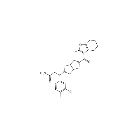 Cc1ccc(C(CC(N)=O)N2CC3CN(C(=O)c4c(C)oc5c4CCCC5)CC3C2)cc1Cl